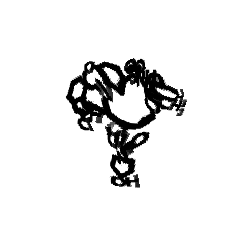 CC[C@H]1[C@@H](OC(=O)N2CCC(O)CC2)/C=C/COC(C)(C)C(=O)NS(=O)(=O)c2ccc3c(c2)N2C[C@@H]1c1cc4c(cc1Cl)CCC[C@@]4(CO3)C2